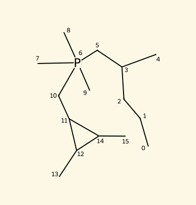 CCCC(C)CP(C)(C)(C)CC1C(C)C1C